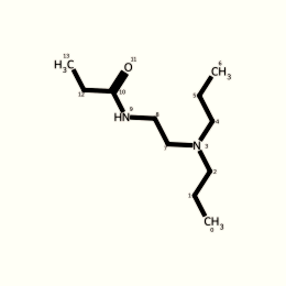 CCCN(CCC)CCNC(=O)CC